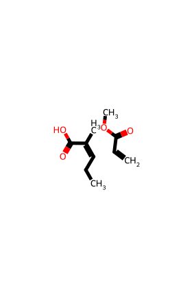 C=CC(=O)OC.CCC=C(C)C(=O)O